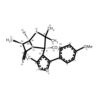 COc1ccc(-c2onc(C)c2[C@@]2(C(=O)O)N3C(=S)[C@@H](C)[C@H]3SC2(C)C)cc1